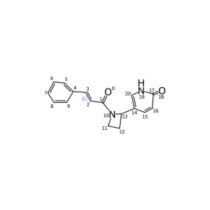 O=C(/C=C/c1ccccc1)N1CCC1c1ccc(=O)[nH]c1